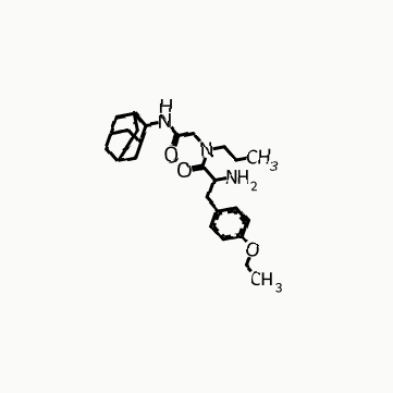 CCCN(CC(=O)NC1C2CC3CC(C2)CC1C3)C(=O)C(N)Cc1ccc(OCC)cc1